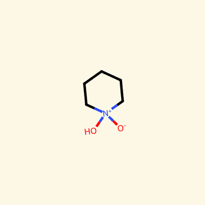 [O-][N+]1(O)CCCCC1